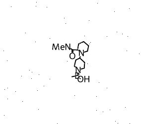 CNC(=O)C1CCCCN1C1CCN(B(C)O)CC1